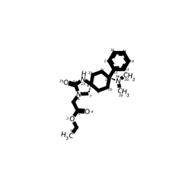 CCOC(=O)CN1C[C@]2(CC[C@@](c3ccccc3)(N(C)C)CC2)NC1=O